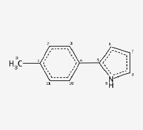 Cc1ccc(-c2c[c]c[nH]2)cc1